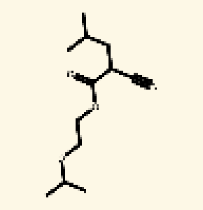 CC(C)CC(C#N)C(=O)OCCOC(C)C